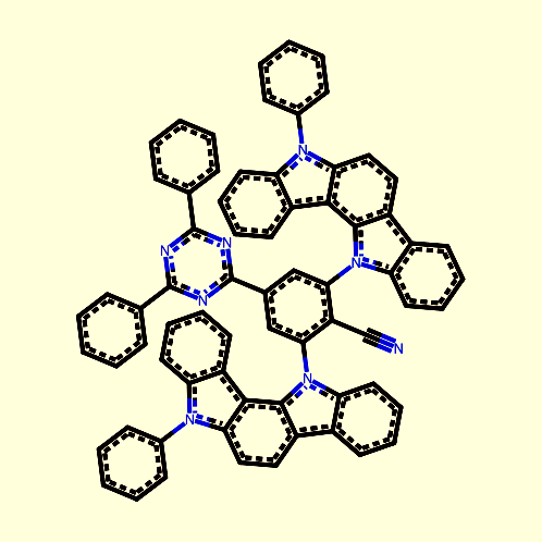 N#Cc1c(-n2c3ccccc3c3ccc4c(c5ccccc5n4-c4ccccc4)c32)cc(-c2nc(-c3ccccc3)nc(-c3ccccc3)n2)cc1-n1c2ccccc2c2ccc3c(c4ccccc4n3-c3ccccc3)c21